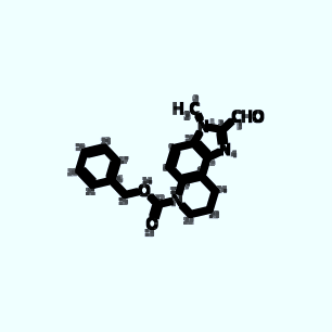 Cn1c(C=O)nc2c3c(ccc21)N(C(=O)OCc1ccccc1)CCC3